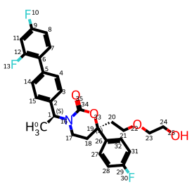 C[C@@H](c1ccc(-c2ccc(F)cc2F)cc1)N1CC[C@](CCOCCO)(c2ccc(F)cc2)OC1=O